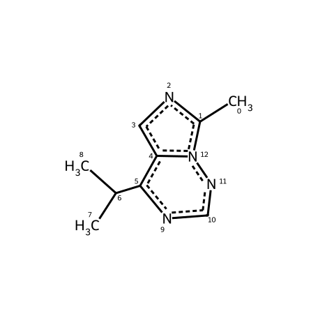 Cc1ncc2c(C(C)C)ncnn12